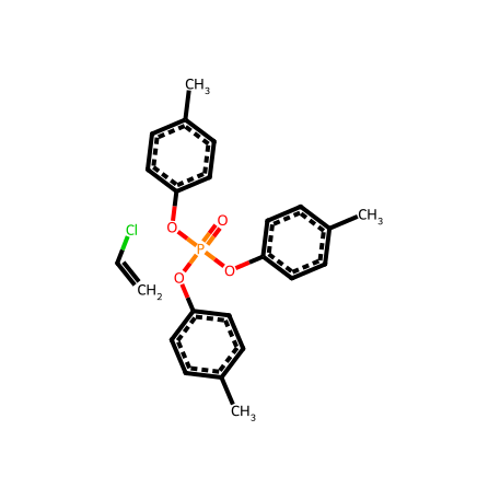 C=CCl.Cc1ccc(OP(=O)(Oc2ccc(C)cc2)Oc2ccc(C)cc2)cc1